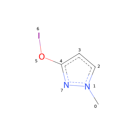 Cn1ccc(OI)n1